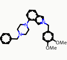 COc1ccc(Cn2cc3cccc(N4CCN(Cc5ccccc5)CC4)c3c2)cc1OC